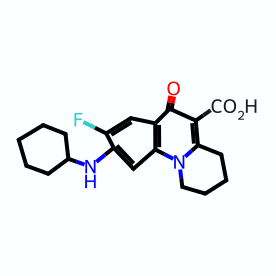 O=C(O)c1c2n(c3cc(NC4CCCCC4)c(F)cc3c1=O)CCCC2